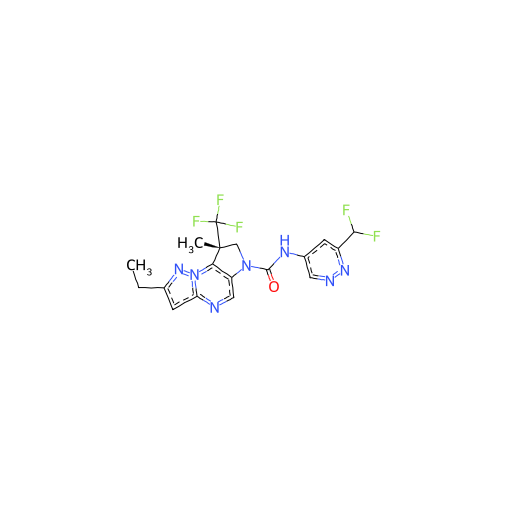 CCc1cc2ncc3c(n2n1)[C@](C)(C(F)(F)F)CN3C(=O)Nc1cnnc(C(F)F)c1